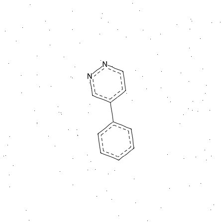 c1ccc(-c2ccnnc2)cc1